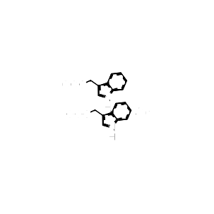 O=C([O-])Cc1c[nH]c2ccccc12.O=C([O-])Cc1c[nH]c2ccccc12.[Zn+2]